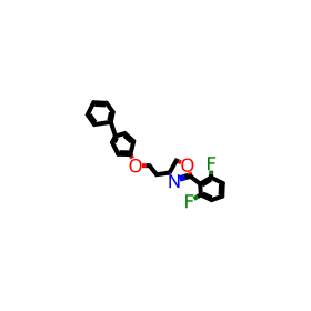 Fc1cccc(F)c1C1=NC(CCOc2ccc(-c3ccccc3)cc2)CO1